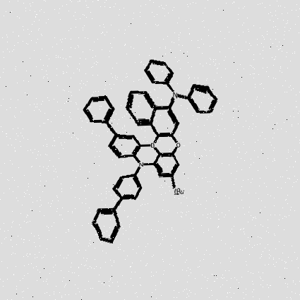 CC(C)(C)c1cc2c3c(c1)N(c1ccc(-c4ccccc4)cc1)c1ccc(-c4ccccc4)cc1B3c1c(cc(N(c3ccccc3)c3ccccc3)c3ccccc13)O2